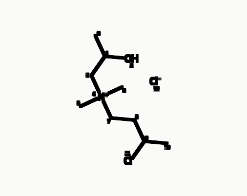 CC(O)C[N+](C)(C)CCC(C)Cl.[Cl-]